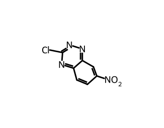 O=[N+]([O-])c1ccc2nc(Cl)nnc2c1